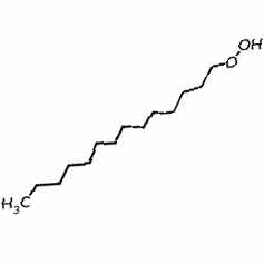 CCCCCCCCCCCCCCOO